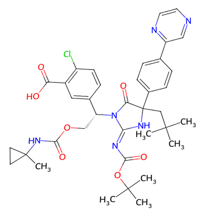 CC(C)(C)CC1(c2ccc(-c3cnccn3)cc2)NC(=NC(=O)OC(C)(C)C)N([C@H](COC(=O)NC2(C)CC2)c2ccc(Cl)c(C(=O)O)c2)C1=O